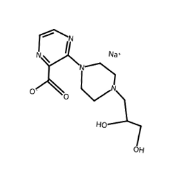 O=C([O-])c1nccnc1N1CCN(CC(O)CO)CC1.[Na+]